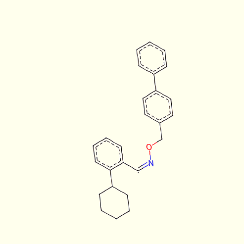 [C](=N/OCc1ccc(-c2ccccc2)cc1)/c1ccccc1C1CCCCC1